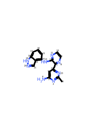 Cc1nc(N)cc(-c2nccnc2Nc2cccc3[nH]ncc23)n1